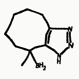 BC1(C)CCCCCc2nn[nH]c21